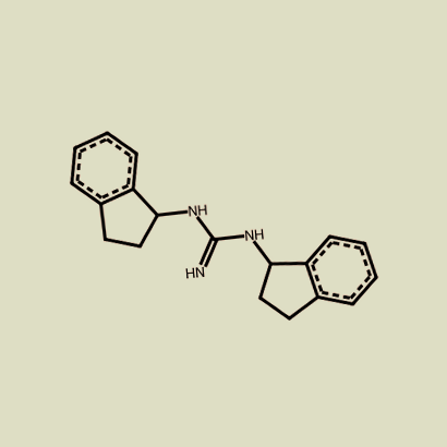 N=C(NC1CCc2ccccc21)NC1CCc2ccccc21